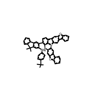 CC(C)(C)c1ccc(Nc2cc3c(cc2-c2ccc4c5cc6oc7ccccc7c6cc5n5c4c2Bc2cc4oc6ccccc6c4cc2-5)-c2ccccc2C3(C)C)cc1